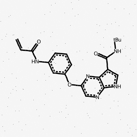 C=CC(=O)Nc1cccc(Oc2cnc3[nH]cc(C(=O)NC(C)(C)C)c3n2)c1